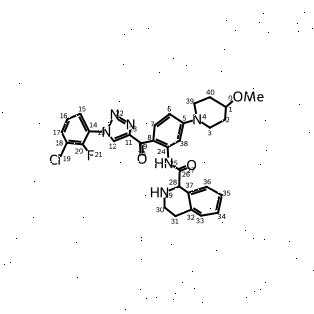 COC1CCN(c2ccc(C(=O)c3cn(-c4cccc(Cl)c4F)nn3)c(NC(=O)C3NCCc4ccccc43)c2)CC1